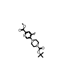 COC(=O)c1cc(F)c(N2CCN(C(=O)OC(C)(C)C)CC2)cn1